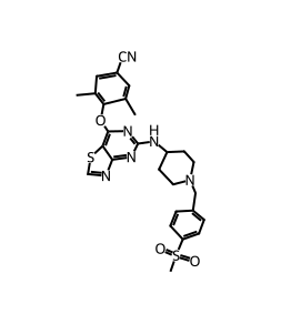 Cc1cc(C#N)cc(C)c1Oc1nc(NC2CCN(Cc3ccc(S(C)(=O)=O)cc3)CC2)nc2ncsc12